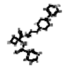 O=C(NC1(C(=O)NCCC2CCN(c3ccncc3)CC2)CCC1)c1cncnc1